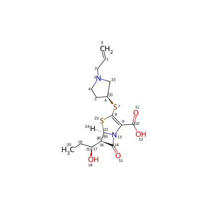 C=CCN1CC[C@H](SC2=C(C(=O)O)N3C(=O)[C@@H]([C@@H](O)CC)[C@H]3S2)C1